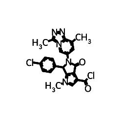 Cc1cc(N2C(=O)c3c(C(=O)Cl)cn(C)c3C2c2ccc(Cl)cc2)cn2c(C)nnc12